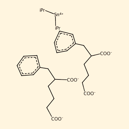 C[CH](C)[Sn+4][CH](C)C.O=C([O-])CCCC(Cc1ccccc1)C(=O)[O-].O=C([O-])CCCC(Cc1ccccc1)C(=O)[O-]